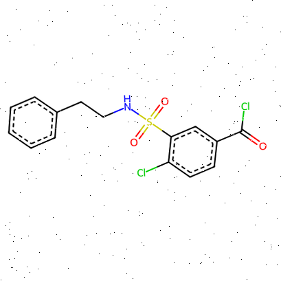 O=C(Cl)c1ccc(Cl)c(S(=O)(=O)NCCc2ccccc2)c1